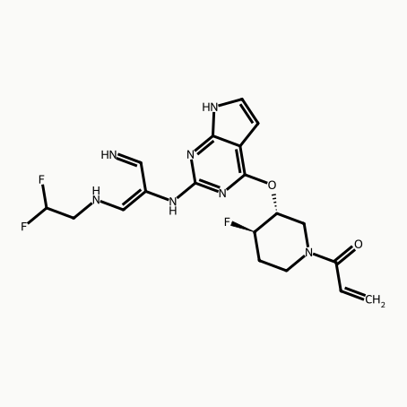 C=CC(=O)N1CC[C@@H](F)[C@H](Oc2nc(N/C(C=N)=C/NCC(F)F)nc3[nH]ccc23)C1